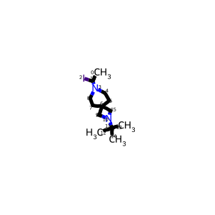 CC(I)N1CCC2(CC1)CN(C(C)(C)C)C2